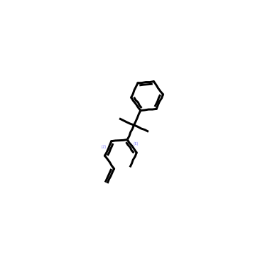 C=C/C=C\C(=C/C)C(C)(C)c1ccccc1